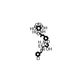 CCC(=NOCc1cccc(Cl)c1)[C@H]1O[C@@H](Oc2ccc(C=C(C)C(=O)N[C@@H]3[C@H](O)[C@@H](O)[C@H]4OCO[C@H]4[C@@H]3O)cc2N)C[C@@H]1O